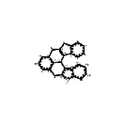 c1ccc2c(c1)CC1=C2C2c3c(cccc3Cc3sc4ccccc4c32)C1